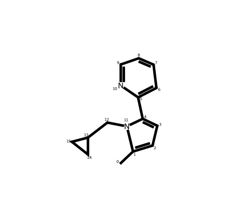 Cc1ccc(-c2ccccn2)n1CC1CC1